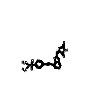 CN(C)S(=O)(=O)c1ccc(C#Cc2cncc3cc(/C=C4/SC(=S)NC4=O)oc23)cc1